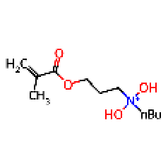 C=C(C)C(=O)OCCC[N+](O)(O)CCCC